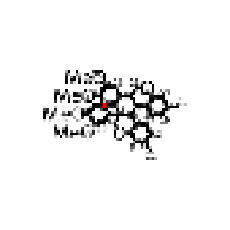 COc1ccc(C23COc4cc(C)ccc4C2C2c4ccc(C)cc4OCC2c2cc(OC)c(OC)cc23)cc1OC